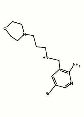 Nc1ncc(Br)cc1CNCCCN1CCOCC1